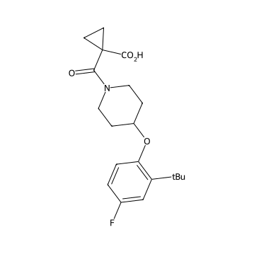 CC(C)(C)c1cc(F)ccc1OC1CCN(C(=O)C2(C(=O)O)CC2)CC1